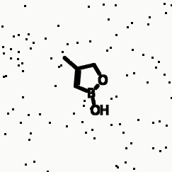 CC1=CB(O)OC1